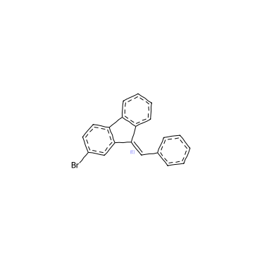 Brc1ccc2c(c1)/C(=C/c1ccccc1)c1ccccc1-2